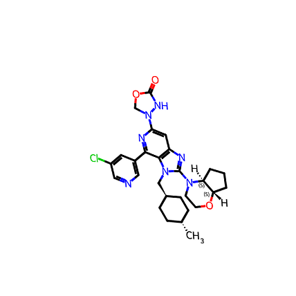 C[C@H]1CC[C@H](Cn2c(N3CCO[C@H]4CCC[C@@H]43)nc3cc(N4COC(=O)N4)nc(-c4cncc(Cl)c4)c32)CC1